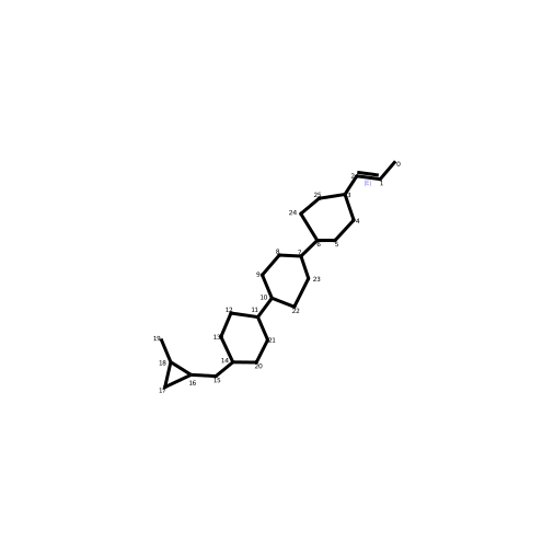 C/C=C/C1CCC(C2CCC(C3CCC(CC4CC4C)CC3)CC2)CC1